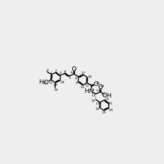 Cc1cc(C=CC(=O)c2ccc(C(=O)N[C@@H](Cc3ccccc3)C(=O)O)cc2)cc(C)c1O